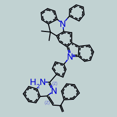 C=C(/C=C(\N=C(/N)c1ccc(-n2c3ccccc3c3cc4c(cc32)C(C)(C)c2ccccc2N4c2ccccc2)cc1)c1ccccc1)c1ccccc1